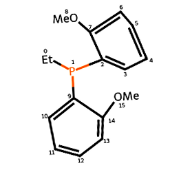 CCP(c1ccccc1OC)c1ccccc1OC